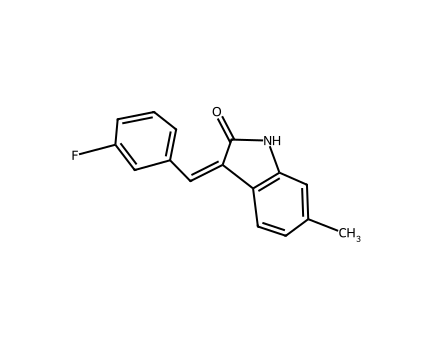 Cc1ccc2c(c1)NC(=O)C2=Cc1cccc(F)c1